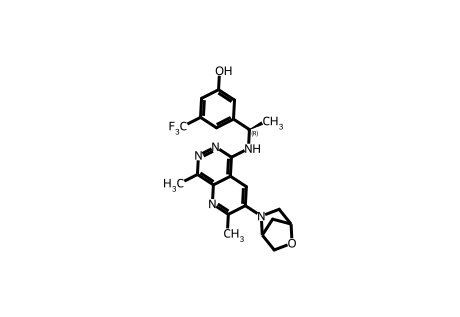 Cc1nc2c(C)nnc(N[C@H](C)c3cc(O)cc(C(F)(F)F)c3)c2cc1N1CC2CC1CO2